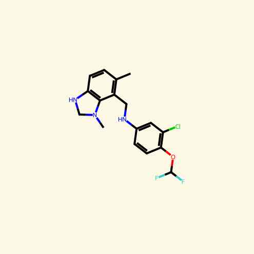 Cc1ccc2c(c1CNc1ccc(OC(F)F)c(Cl)c1)N(C)CN2